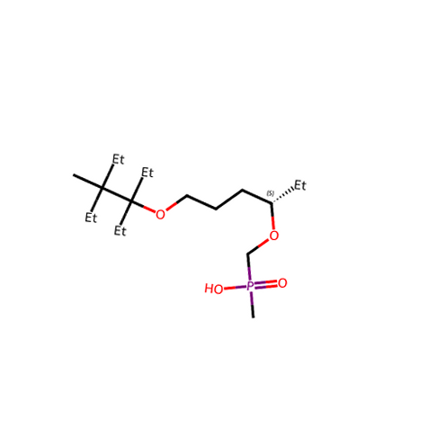 CC[C@@H](CCCOC(CC)(CC)C(C)(CC)CC)OCP(C)(=O)O